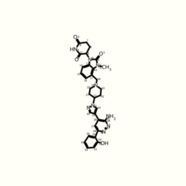 Cn1c(=O)n(C2CCC(=O)NC2=O)c2cccc(CN3CCC(n4cc(-c5cc(-c6ccccc6O)nnc5N)cn4)CC3)c21